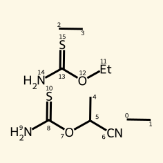 CC.CC.CC(C#N)OC(N)=S.CCOC(N)=S